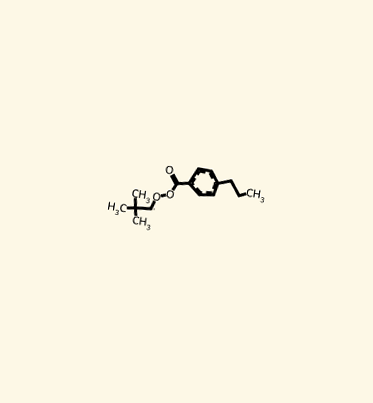 CCCc1ccc(C(=O)OO[CH]C(C)(C)C)cc1